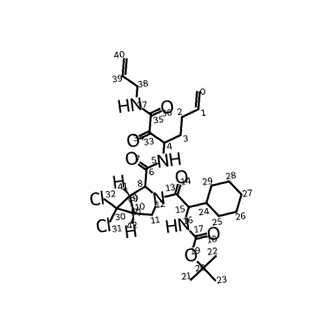 C=CCCC(NC(=O)C1[C@@H]2[C@H](CN1C(=O)C(NC(=O)OC(C)(C)C)C1CCCCC1)C2(Cl)Cl)C(=O)C(=O)NCC=C